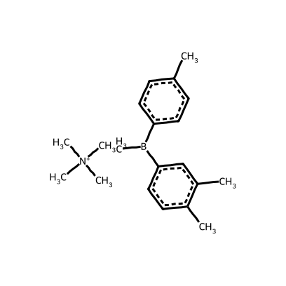 CB(c1ccc(C)cc1)c1ccc(C)c(C)c1.C[N+](C)(C)C